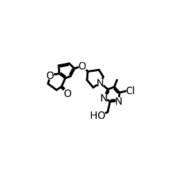 Cc1c(Cl)nc(CO)nc1N1CCC(Oc2ccc3c(c2)C(=O)CCO3)CC1